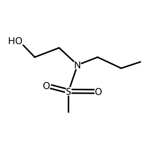 CCCN(CCO)S(C)(=O)=O